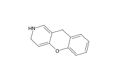 C1=C2Cc3ccccc3OC2=CCN1